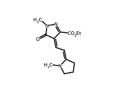 CCOC(=O)C1=NN(C)C(=O)/C1=C/C=C1/CCCN1C